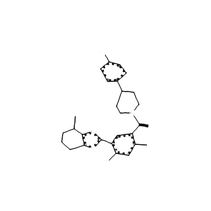 C=C(c1cc(-c2nc3c([nH]2)C(C)CCC3)c(C)cc1C)N1CCC(c2ccc(C#N)cc2)CC1